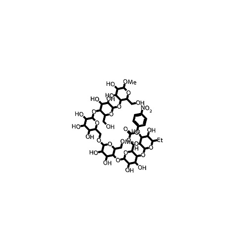 CCC1OC(OC2C(COC(=O)Oc3ccc([N+](=O)[O-])cc3)OC(OC3C(COC)OC(OCC4OC(OC5C(CO)OC(OC6C(CO)OC(OC)C(O)C6O)C(O)C5O)C(O)C(O)C4O)C(O)C3O)C(O)C2O)C(O)C(O)C1O